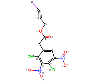 O=C(Cc1cc([N+](=O)[O-])c(Cl)c([N+](=O)[O-])c1Cl)OCC#CI